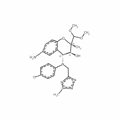 COC(OC)[C@@]1(C)Oc2ccc(N)cc2[C@@H](N(Cc2nnn(C)n2)c2ccc(Cl)cc2)[C@@H]1O